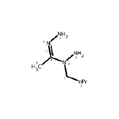 CCCCN(N)/C(C)=N\N